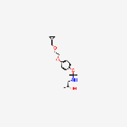 CC(O)CNC(C)(C)Oc1ccc(OCCOCC2CC2)cc1